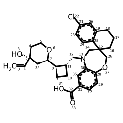 C=C[C@@]1(O)CCO[C@@H]([C@@H]2CC[C@H]2CN2C[C@@]3(CCCc4cc(Cl)ccc43)COc3ccc(C(=O)O)cc32)C1